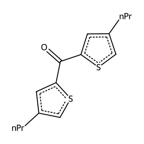 CCCc1csc(C(=O)c2cc(CCC)cs2)c1